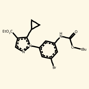 CCOC(=O)c1cnn(-c2cc(Br)cc(NC(=O)OC(C)(C)C)c2)c1C1CC1